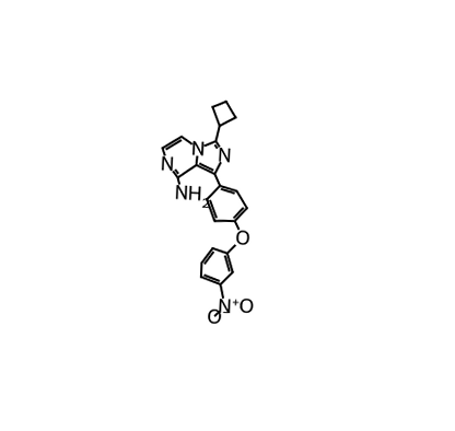 Nc1nccn2c(C3CCC3)nc(-c3ccc(Oc4cccc([N+](=O)[O-])c4)cc3)c12